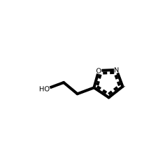 OCCc1c[c]no1